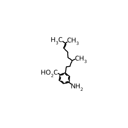 CC(C)=CCCC(C)CCc1cc(N)ccc1C(=O)O